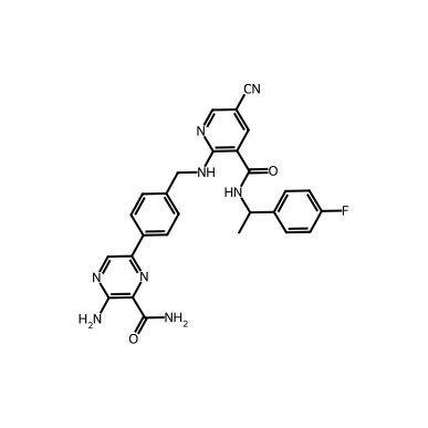 CC(NC(=O)c1cc(C#N)cnc1NCc1ccc(-c2cnc(N)c(C(N)=O)n2)cc1)c1ccc(F)cc1